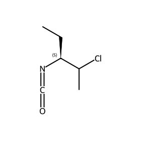 CC[C@H](N=C=O)C(C)Cl